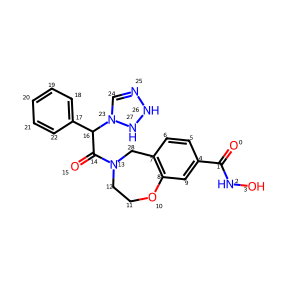 O=C(NO)c1ccc2c(c1)OCCN(C(=O)C(c1ccccc1)N1C=NNN1)C2